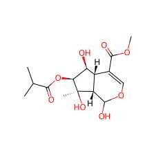 COC(=O)C1=COC(O)[C@H]2[C@@H]1[C@H](O)[C@H](OC(=O)C(C)C)[C@]2(C)O